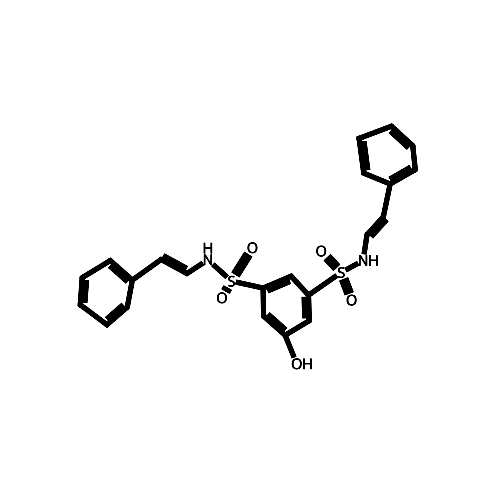 O=S(=O)(NC=Cc1ccccc1)c1cc(O)cc(S(=O)(=O)NC=Cc2ccccc2)c1